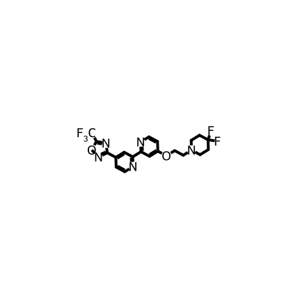 FC1(F)CCN(CCOc2ccnc(-c3cc(-c4noc(C(F)(F)F)n4)ccn3)c2)CC1